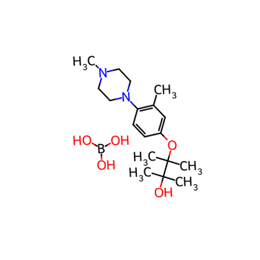 Cc1cc(OC(C)(C)C(C)(C)O)ccc1N1CCN(C)CC1.OB(O)O